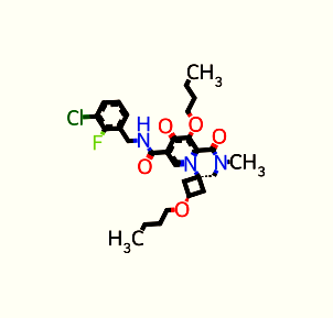 CCCCOc1c2n(cc(C(=O)NCc3cccc(Cl)c3F)c1=O)[C@]1(CN(C)C2=O)C[C@H](OCCCC)C1